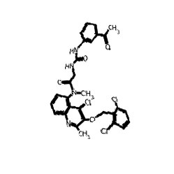 CC(=O)c1cccc(NC(=O)NCC(=O)N(C)c2cccc3nc(C)c(OCc4c(Cl)cccc4Cl)c(Cl)c23)c1